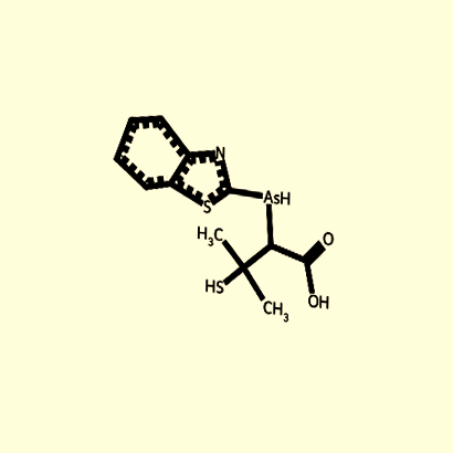 CC(C)(S)C([AsH]c1nc2ccccc2s1)C(=O)O